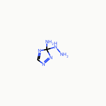 NNC1(N)N=CN=N1